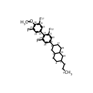 CCCC1CCC2CC(c3cc(F)c(-c4cc(F)c(OC)c(F)c4)c(F)c3)CCC2C1